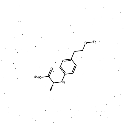 CCOCCc1ccc(N[C@@H](C)C(=O)OC)cc1